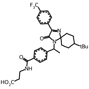 CC(c1ccc(C(=O)NCCC(=O)O)cc1)N1C(=O)C(c2ccc(C(F)(F)F)cc2)=NC12CCC(C(C)(C)C)CC2